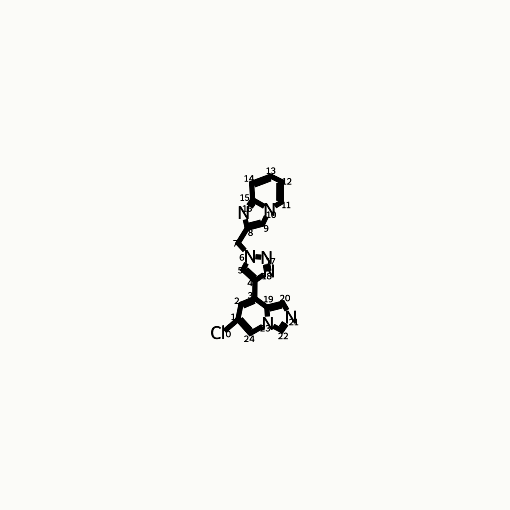 Clc1cc(-c2cn(Cc3cn4ccccc4n3)nn2)c2cncn2c1